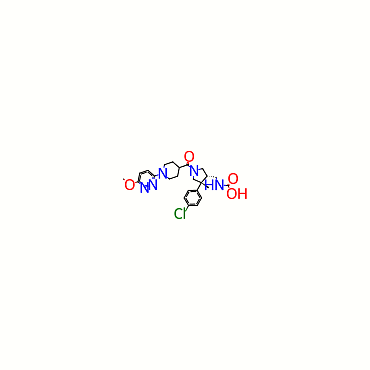 COc1ccc(N2CCC(C(=O)N3C[C@H](CNC(=O)O)[C@](C)(c4ccc(Cl)cc4)C3)CC2)nn1